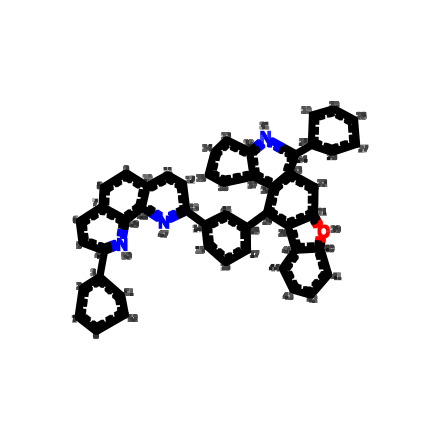 c1ccc(-c2ccc3ccc4ccc(-c5cccc(-c6c7c(cc8c(-c9ccccc9)nc9ccccc9c68)oc6ccccc67)c5)nc4c3n2)cc1